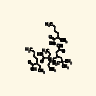 CC(CC(=O)O)CC(C)(C)C.CCCC(CC)C(=O)O.CCCCC(C)C(=O)O.CCCCC(CC)C(=O)O